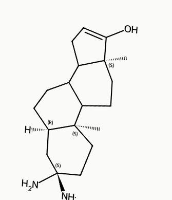 C[C@]12CCC3C(CC[C@@H]4C[C@@]([NH])(N)CC[C@]34C)C1CC=C2O